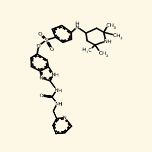 CC1(C)CC(Nc2ccc(S(=O)(=O)Oc3ccc4nc(NC(=O)NCc5ccccn5)[nH]c4c3)cc2)CC(C)(C)N1